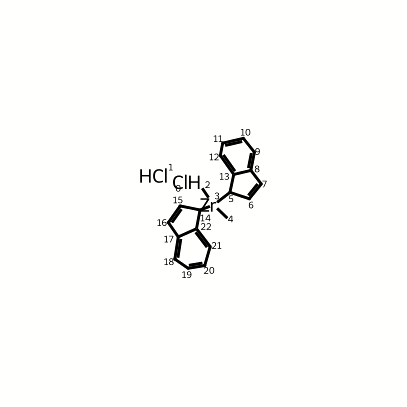 Cl.Cl.[CH3][Zr]([CH3])([CH]1C=Cc2ccccc21)[CH]1C=Cc2ccccc21